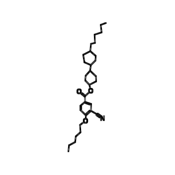 CCCCCCOc1ccc(C(=O)OC2CCC(C3CCC(CCCCCC)CC3)CC2)cc1C#N